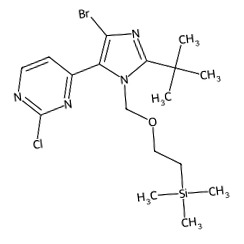 CC(C)(C)c1nc(Br)c(-c2ccnc(Cl)n2)n1COCC[Si](C)(C)C